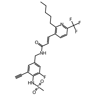 C#Cc1cc(CNC(=O)C=Cc2ccc(C(F)(F)F)nc2CCCCC)cc(F)c1NS(C)(=O)=O